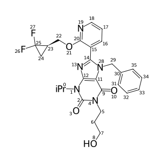 CC(C)n1c(=O)n(CCCO)c(=O)c2c1nc(-c1cccnc1OC[C@H]1CC1(F)F)n2Cc1ccccc1